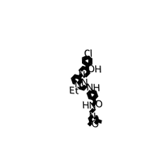 CCC1C=C(Nc2ccc(C(=O)NCCN3CC(C)OC(C)C3)cc2)N=C2C(N3CCC(O)(c4ccc(Cl)cc4)CC3)=CC=CN21